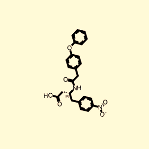 O=C(O)C[C@@H](Cc1ccc([N+](=O)[O-])cc1)NC(=O)Cc1ccc(Oc2ccccc2)cc1